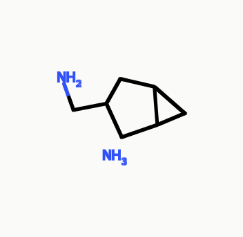 N.NCC1CC2CC2C1